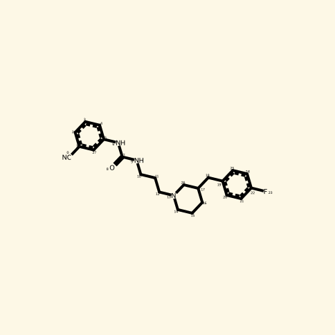 N#Cc1cccc(NC(=O)NCCCN2CCCC(Cc3ccc(F)cc3)C2)c1